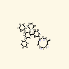 C=C1/C=C\C=C/C/C=C(c2ncc(-c3cccc(-c4cccnc4)c3)c(-c3cccc(-c4ccccc4)c3)n2)\C=C/1